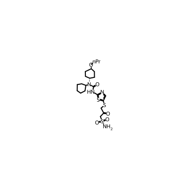 CCCO[C@H]1CC[C@H](N(C(=O)Nc2ncc(SCC(=O)CS(N)(=O)=O)s2)C2CCCCC2)CC1